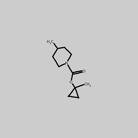 CC1CCN(C(=O)OC2(C)CC2)CC1